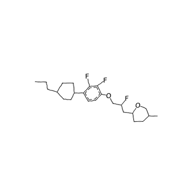 CCCC1CCC(c2ccc(OCC(F)CC3CCC(C)CO3)c(F)c2F)CC1